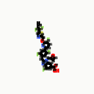 CC(F)(F)c1cnc(COc2nc(-c3cc(F)c(Cc4nc5c(F)cc(C(=O)O)cc5n4CC4CCO4)cc3F)ccc2F)s1